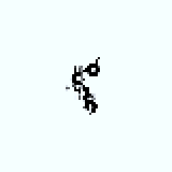 Clc1cccc(Nc2ccc3c(n2)N(Cc2cc4cnccc4s2)NN3)c1